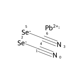 N#C[Se-].N#C[Se-].[Pb+2]